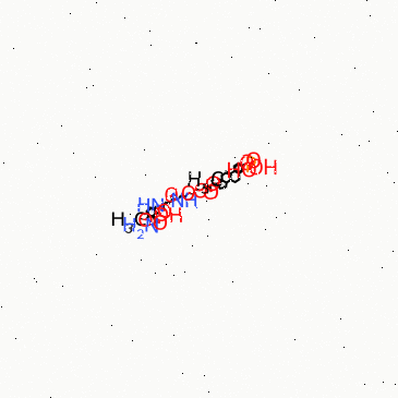 COc1ccc(NC(=O)CCC(=O)NCCOCCOCC(=O)OC2CCC3C4CCc5cc(OP(=O)(O)O)ccc5C4CCC23C)c(O)c1C(N)=O